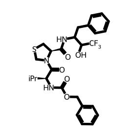 CC(C)[C@H](NC(=O)OCc1ccccc1)C(=O)N1CSC[C@H]1C(=O)NC(Cc1ccccc1)C(O)C(F)(F)F